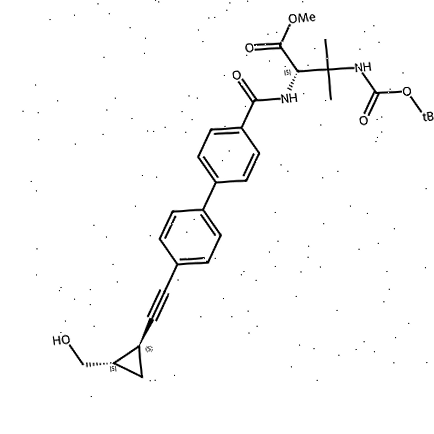 COC(=O)[C@@H](NC(=O)c1ccc(-c2ccc(C#C[C@H]3C[C@@H]3CO)cc2)cc1)C(C)(C)NC(=O)OC(C)(C)C